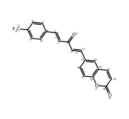 O=C(/C=C/c1ccc(C(F)(F)F)cc1)/C=C/c1ccc2oc(=O)ccc2c1